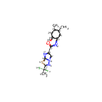 Cc1cc2nc(-c3cn4nc(C(C)(F)F)sc4n3)oc2cc1C